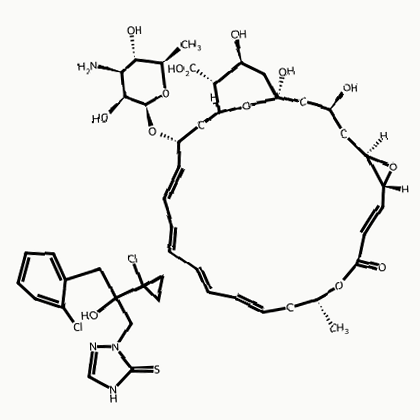 C[C@@H]1C/C=C/C=C/C=C/C=C/[C@H](O[C@@H]2O[C@H](C)[C@@H](O)[C@H](N)[C@@H]2O)C[C@@H]2O[C@](O)(C[C@@H](O)C[C@H]3O[C@@H]3/C=C/C(=O)O1)C[C@H](O)[C@H]2C(=O)O.OC(Cc1ccccc1Cl)(Cn1nc[nH]c1=S)C1(Cl)CC1